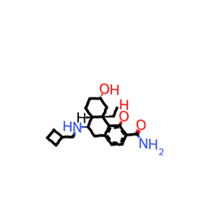 CC[C@]12C[C@@H](O)CC[C@H]1[C@H](NCC1CCC1)Cc1ccc(C(N)=O)c(O)c12